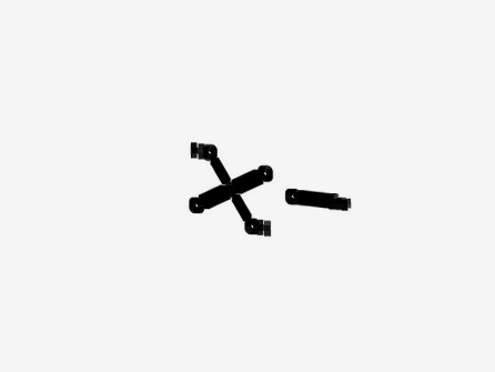 O=S(=O)(O)O.[O]=[Sn]